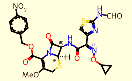 COC1=C(C(=O)OCc2ccc([N+](=O)[O-])cc2)N2C(=O)[C@@H](NC(=O)/C(=N\OC3CC3)c3csc(NC=O)n3)[C@H]2SC1